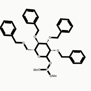 COP(OC)OC1O[C@H](COCc2ccccc2)[C@@H](OCc2ccccc2)[C@H](OCc2ccccc2)[C@@H]1OCc1ccccc1